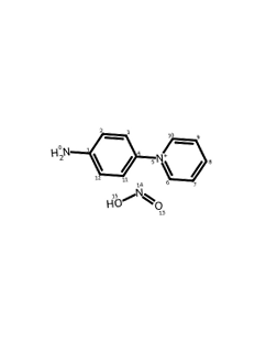 Nc1ccc(-[n+]2ccccc2)cc1.O=NO